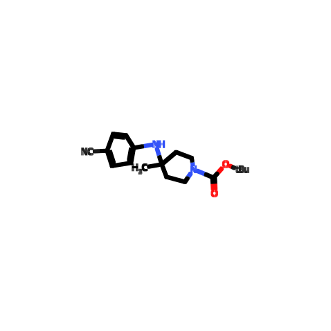 CC1(Nc2ccc(C#N)cc2)CCN(C(=O)OC(C)(C)C)CC1